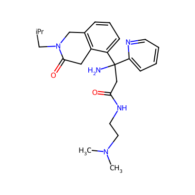 CC(C)CN1Cc2cccc(C(N)(CC(=O)NCCN(C)C)c3ccccn3)c2CC1=O